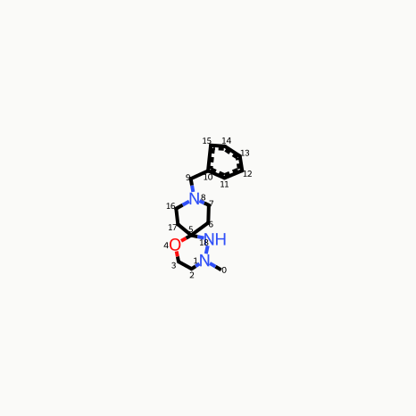 CN1CCOC2(CCN(Cc3ccccc3)CC2)N1